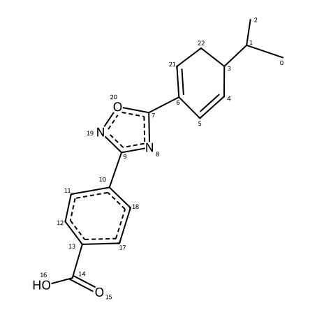 CC(C)C1C=CC(c2nc(-c3ccc(C(=O)O)cc3)no2)=CC1